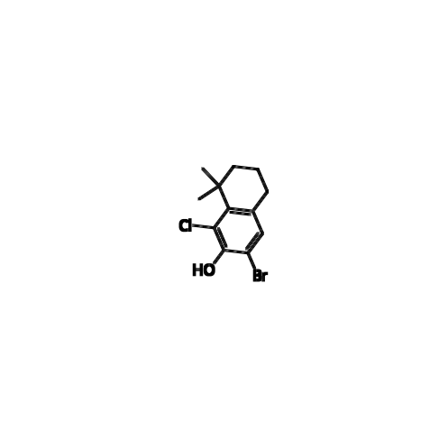 CC1(C)CCCc2cc(Br)c(O)c(Cl)c21